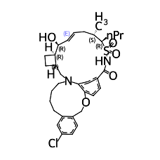 CCC[C@@H]1[C@@H](C)C/C=C/[C@H](O)[C@@H]2CC[C@H]2CN2CCCCc3cc(Cl)ccc3COc3ccc(cc32)C(=O)NS1(=O)=O